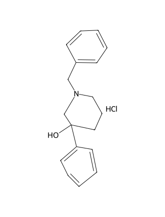 Cl.OC1(c2ccccc2)CCCN(Cc2ccccc2)C1